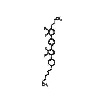 CCCCCCCC1CC=C(c2ccc(-c3ccc(-c4ccc(CCCC)c(F)c4F)cc3)c(F)c2F)CC1